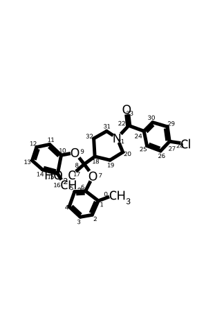 Cc1ccccc1OC(Oc1ccccc1C)(C(=O)O)C1CCN(C(=O)c2ccc(Cl)cc2)CC1